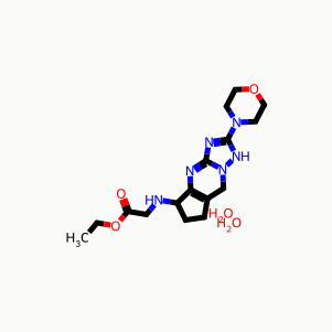 CCOC(=O)CNC1CCC2=C1N=C1N=C(N3CCOCC3)NN1C2.O.O